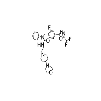 O=C(NCCN1CCC(N2CCOCC2)CC1)N(Cc1ccc(-c2nnc(C(F)F)o2)cc1F)c1ccccc1